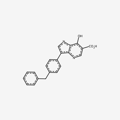 O=C(O)c1cnc2c(-c3ccc(Cc4ccccc4)cc3)cnn2c1O